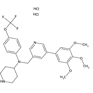 COc1cc(-c2cncc(CN(c3ccc(OC(F)(F)F)cc3)C3CCNCC3)c2)cc(OC)c1OC.Cl.Cl